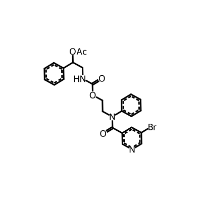 CC(=O)OC(CNC(=O)OCCN(C(=O)c1cncc(Br)c1)c1ccccc1)c1ccccc1